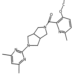 CCOc1ccc(C)nc1C(=O)N1CC2CN(c3nc(C)cc(C)n3)CC2C1